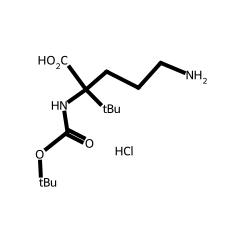 CC(C)(C)OC(=O)NC(CCCN)(C(=O)O)C(C)(C)C.Cl